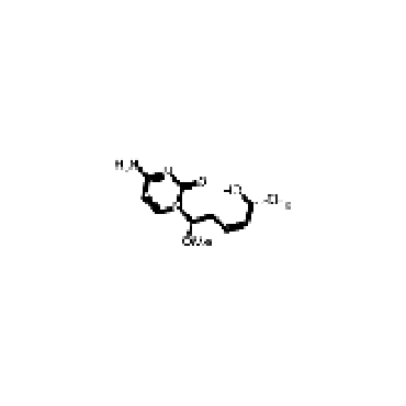 CO[C@H](C/C=C\[C@@H](C)O)n1ccc(N)nc1=O